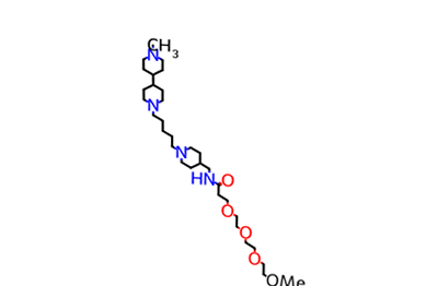 COCCOCCOCCOCCC(=O)NCC1CCN(CCCCCN2CCC(C3CCN(C)CC3)CC2)CC1